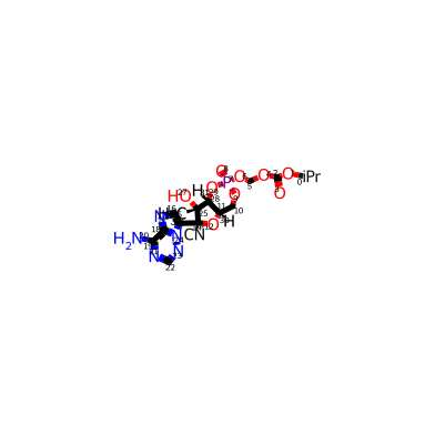 CC(C)OC(=O)OCOP1(=O)OC[C@H]2O[C@@](C#N)(c3cnc4c(N)ncnn34)[C@](C)(O)[C@@H]2O1